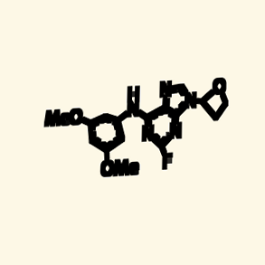 COc1cc(Nc2nc(F)nc3c2ncn3C2CCO2)cc(OC)c1